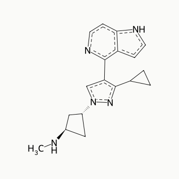 CN[C@H]1C[C@H](n2cc(-c3nccc4[nH]ccc34)c(C3CC3)n2)C1